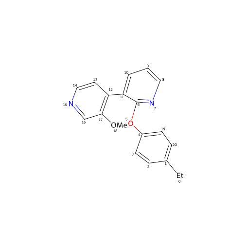 CCc1ccc(Oc2ncccc2-c2ccncc2OC)cc1